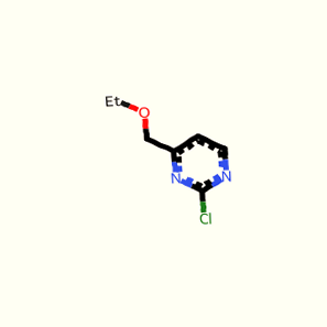 CCOCc1ccnc(Cl)n1